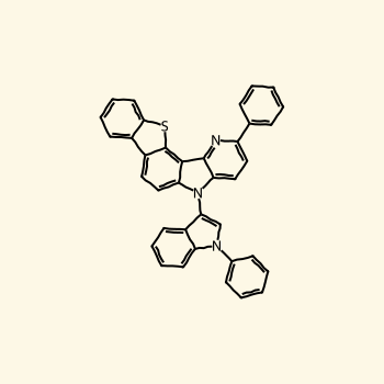 c1ccc(-c2ccc3c(n2)c2c4sc5ccccc5c4ccc2n3-c2cn(-c3ccccc3)c3ccccc23)cc1